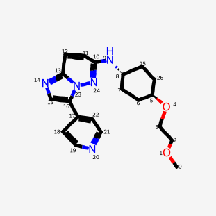 COCCO[C@H]1CC[C@H](Nc2ccc3ncc(-c4ccncc4)n3n2)CC1